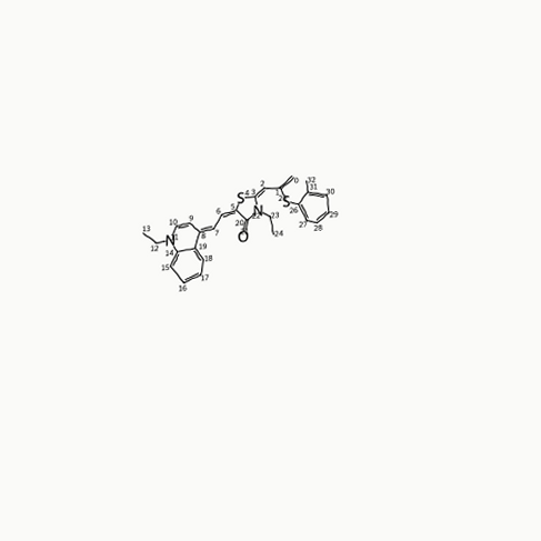 C=C(/C=c1/s/c(=C/C=C2\C=CN(CC)c3ccccc32)c(=O)n1CC)Sc1ccccc1C